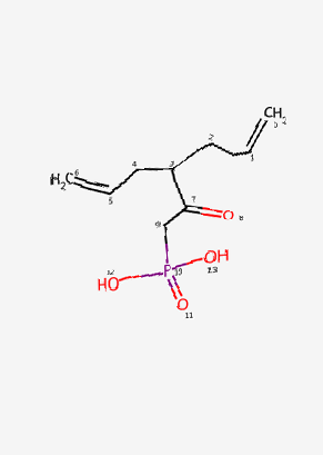 C=CCC(CC=C)C(=O)CP(=O)(O)O